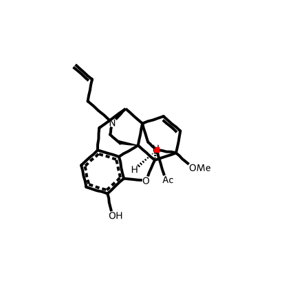 C=CCN1CC[C@]23c4c5ccc(O)c4O[C@@H]2C2(OC)C=CC3(C[C@@H]2C(C)=O)C1C5